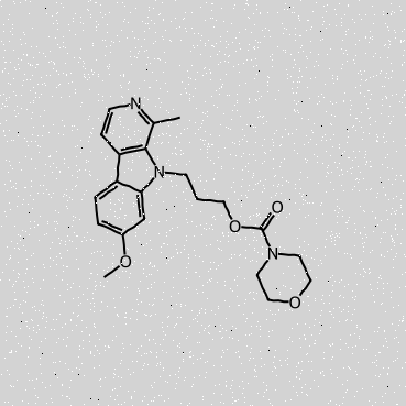 COc1ccc2c3ccnc(C)c3n(CCCOC(=O)N3CCOCC3)c2c1